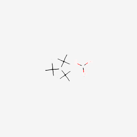 CCC(C)(CC)[SiH](C(C)(CC)CC)C(C)(CC)CC.OB(O)O